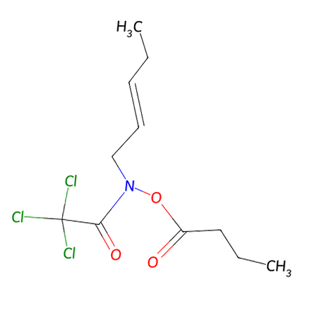 CCC=CCN(OC(=O)CCC)C(=O)C(Cl)(Cl)Cl